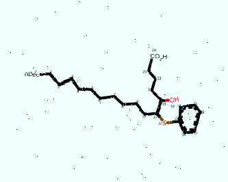 CCCCCCCCCCCCCCCCCCCCC(Sc1ccccc1)C(O)CCCC(=O)O